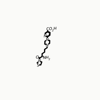 N[C@@H](CCCCN1CCN(c2ccc(C(=O)O)cn2)CC1)C(=O)N1CCSC1